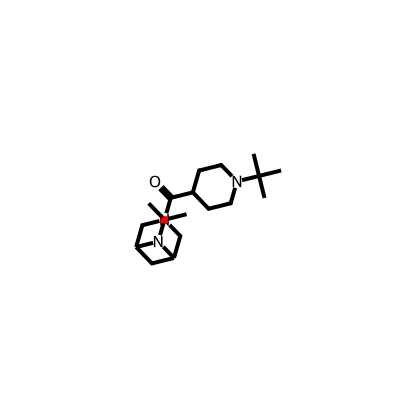 CC(C)N1C2CC1CN(C(=O)C1CCN(C(C)(C)C)CC1)C2